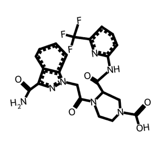 NC(=O)c1nn(CC(=O)N2CCN(C(=O)O)CC2C(=O)Nc2cccc(C(F)(F)F)n2)c2ccccc12